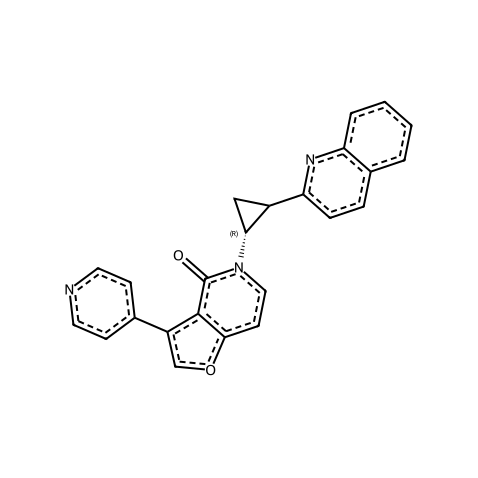 O=c1c2c(-c3ccncc3)coc2ccn1[C@@H]1CC1c1ccc2ccccc2n1